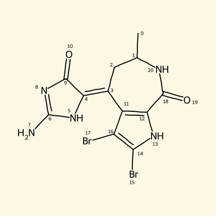 CC1C/C(=C2/NC(N)=NC2=O)c2c([nH]c(Br)c2Br)C(=O)N1